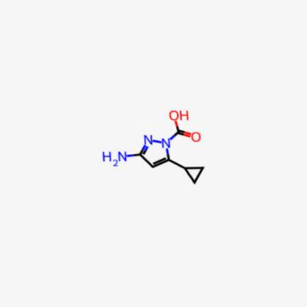 Nc1cc(C2CC2)n(C(=O)O)n1